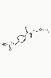 COCCNC(=O)c1ccc(CCC(=O)O)cc1